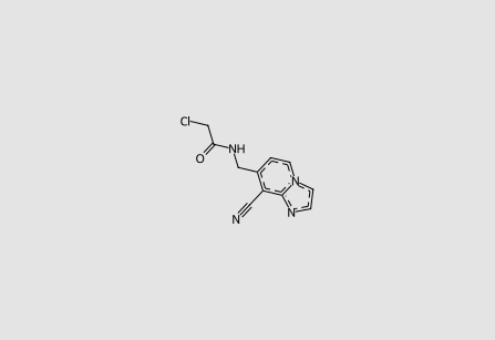 N#Cc1c(CNC(=O)CCl)ccn2ccnc12